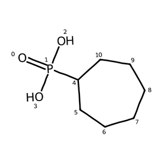 O=P(O)(O)C1CCCCCC1